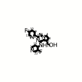 OCc1ccn2nc(-c3ccc(F)cn3)nc(Nc3ccncc3F)c12